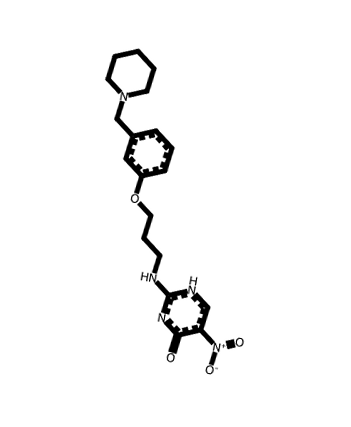 O=c1nc(NCCCOc2cccc(CN3CCCCC3)c2)[nH]cc1[N+](=O)[O-]